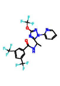 CC(NC(=O)c1cc(C(F)(F)F)cc(C(F)(F)F)c1)c1nc(OC(F)(F)F)nn1-c1ccccn1